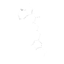 CC(NCCCc1cccc(OC(F)(F)F)c1)c1csc2ccccc12